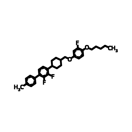 CCCCCOc1ccc(OCC2CCC(c3ccc(-c4ccc(C)cc4)c(F)c3F)CC2)cc1F